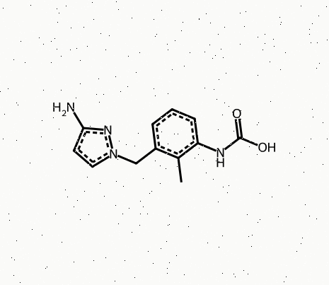 Cc1c(Cn2ccc(N)n2)cccc1NC(=O)O